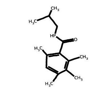 Cc1cc(C)c(C(=O)PCC(C)C)c(C)c1C